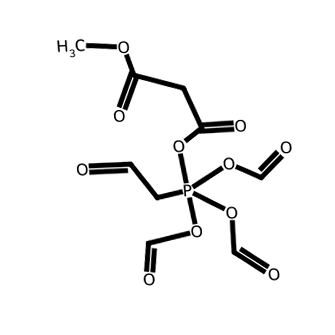 COC(=O)CC(=O)OP(CC=O)(OC=O)(OC=O)OC=O